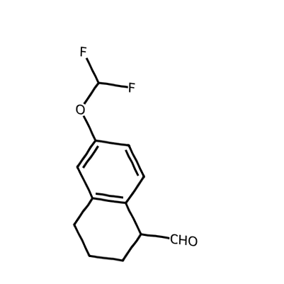 O=CC1CCCc2cc(OC(F)F)ccc21